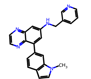 Cn1ccc2ccc(-c3cc(NCc4cccnc4)cc4nccnc34)cc21